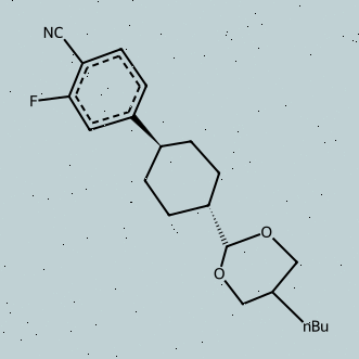 CCCCC1COC([C@H]2CC[C@H](c3ccc(C#N)c(F)c3)CC2)OC1